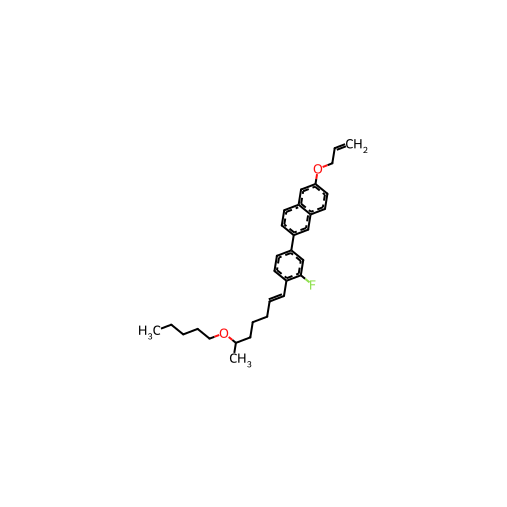 C=CCOc1ccc2cc(-c3ccc(/C=C/CCCC(C)OCCCCC)c(F)c3)ccc2c1